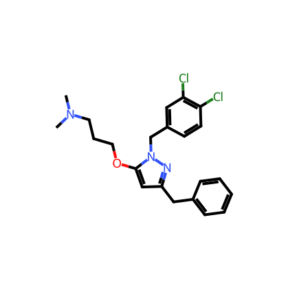 CN(C)CCCOc1cc(Cc2ccccc2)nn1Cc1ccc(Cl)c(Cl)c1